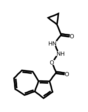 O=C(ONNC(=O)C1CC1)c1ccc2cccccc1-2